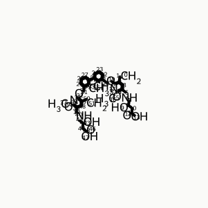 C=Cc1cc(CNC[C@@H](O)CC(=O)O)c(OC)nc1OCc1cccc(-c2cccc(COc3nc(OC)c(CNC[C@@H](O)CC(=O)O)cc3C=C)c2C)c1C